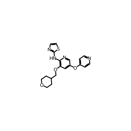 c1cc(Oc2cnc(Nc3nccs3)c(OCC3CCOCC3)c2)ccn1